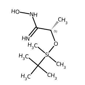 C[C@H](O[Si](C)(C)C(C)(C)C)C(=N)NO